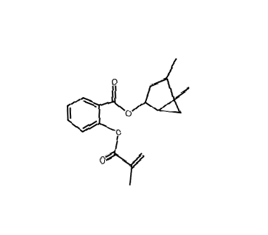 C=C(C)C(=O)Oc1ccccc1C(=O)OC1CC(C)C2(C)CC12